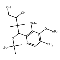 Bc1cnc(C(O[Si](C)(C)C(C)(C)C)C(C)(C)C(O)CO)c(OC)c1OCCCC